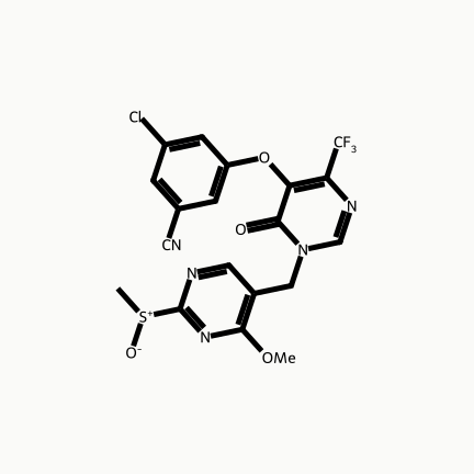 COc1nc([S+](C)[O-])ncc1Cn1cnc(C(F)(F)F)c(Oc2cc(Cl)cc(C#N)c2)c1=O